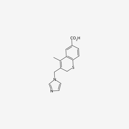 CC1=C(Cn2ccnc2)CSc2ccc(C(=O)O)cc21